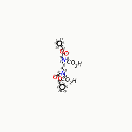 O=C(O)CN(CCCCN(CC(=O)O)CC(=O)OCc1ccccc1)CC(=O)OCc1ccccc1